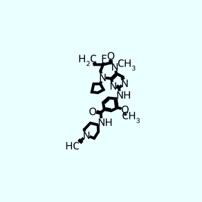 C#CN1CCC(NC(=O)c2ccc(Nc3ncc4c(n3)N(C3CCCC3)CC(F)(C=C)C(=O)N4C)c(OC)c2)CC1